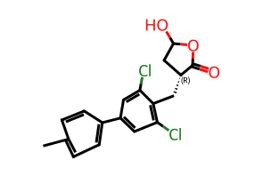 Cc1ccc(-c2cc(Cl)c(C[C@@H]3CC(O)OC3=O)c(Cl)c2)cc1